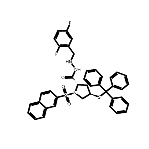 O=C(NNCc1cc(F)ccc1F)[C@@H]1C[C@@H](SC(c2ccccc2)(c2ccccc2)c2ccccc2)CN1S(=O)(=O)c1ccc2ccccc2c1